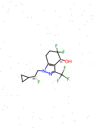 O[C@H]1c2c(C(F)(F)F)nn(C[C@H](F)C3CC3)c2CCC1(F)F